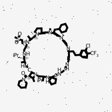 CC(C)C[C@@H]1NC[C@H](CCS(C)(=O)=O)NC(C)[C@H](C)N2CCCC2=CN(C)C(CC2CCCCC2)=CN(C)C=CN=C(CCc2ccc(C(F)(F)F)c(Cl)c2)C=CNCCNCC2(CCCC2)NC(C)[C@H](C(C)C)N2C(C)[C@H](C(=O)N3CCCCC3)C2CNC1C